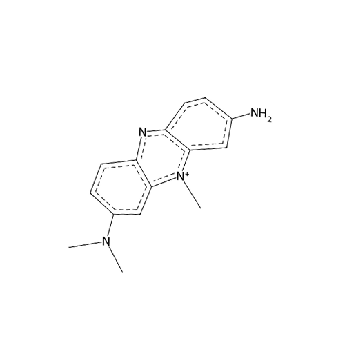 CN(C)c1ccc2nc3ccc(N)cc3[n+](C)c2c1